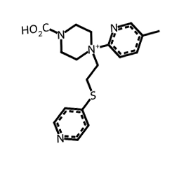 Cc1ccc([N+]2(CCSc3ccncc3)CCN(C(=O)O)CC2)nc1